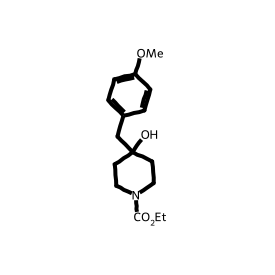 CCOC(=O)N1CCC(O)(Cc2ccc(OC)cc2)CC1